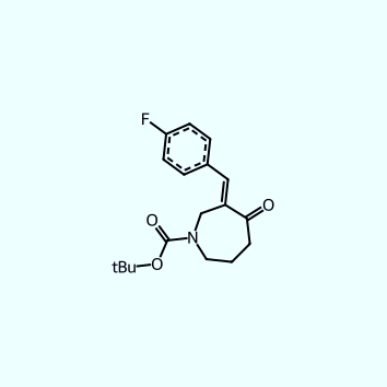 CC(C)(C)OC(=O)N1CCCC(=O)C(=Cc2ccc(F)cc2)C1